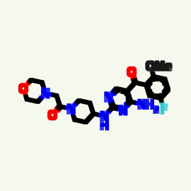 COc1ccc(F)cc1C(=O)c1cnc(NC2CCN(C(=O)CN3CCOCC3)CC2)nc1N